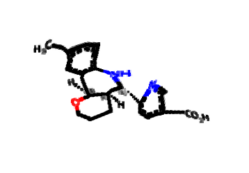 Cc1ccc2c(c1)[C@@H]1OCCC[C@@H]1[C@@H](c1ccc(C(=O)O)cn1)N2